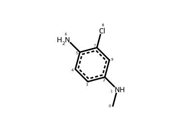 CNc1ccc(N)c(Cl)c1